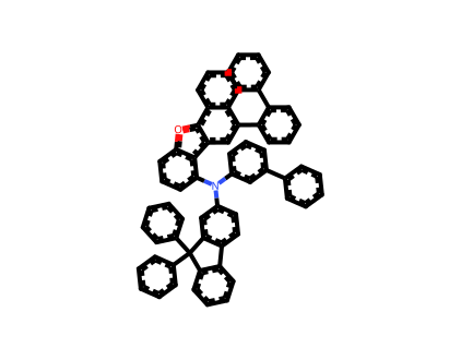 c1ccc(-c2cccc(N(c3ccc4c(c3)C(c3ccccc3)(c3ccccc3)c3ccccc3-4)c3cccc4oc5c6ccccc6c(-c6ccccc6-c6ccccc6)cc5c34)c2)cc1